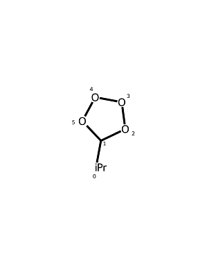 CC(C)C1OOOO1